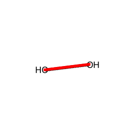 OCCCCCCCCCCCCCCCCCCCCCCCCCCCCCCCCCCCCCCCCCCCCCCCCCCCCCCO